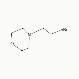 [CH2]CCCCCN1CCOCC1